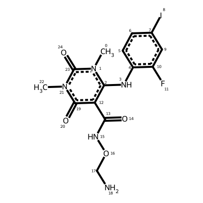 Cn1c(Nc2ccc(I)cc2F)c(C(=O)NOCN)c(=O)n(C)c1=O